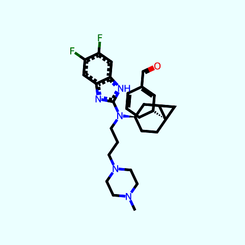 CN1CCN(CCCN(c2nc3cc(F)c(F)cc3[nH]2)[C@@H]2CC[C@]3(C4C=C(C=O)C=CC4)CC3C2)CC1